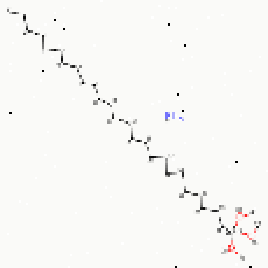 CCCCCCCCCCCCCCCCCCCCCCCCC[Si](OC)(OC)OC.N